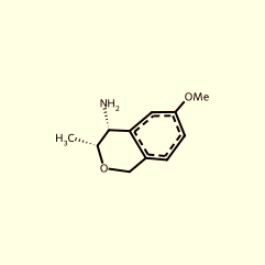 COc1ccc2c(c1)[C@@H](N)[C@@H](C)OC2